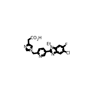 CCn1c(-c2ccc(Cn3cnc(CC(=O)O)c3)nc2)nc2cc(Cl)c(F)cc21